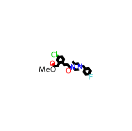 COC(=O)Cc1cc(Cl)ccc1C=CC(=O)N1CCN(Cc2ccc(F)cc2)CC1C